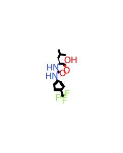 CC(C)C[C@H](NC(=O)Nc1ccc(C(F)(F)F)cc1)C(=O)O